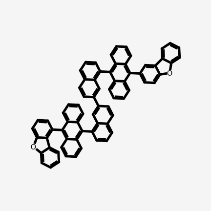 c1cc(-c2c3ccccc3c(-c3ccc4oc5ccccc5c4c3)c3ccccc23)c2cc(-c3ccc4cccc(-c5c6ccccc6c(-c6cccc7oc8ccccc8c67)c6ccccc56)c4c3)ccc2c1